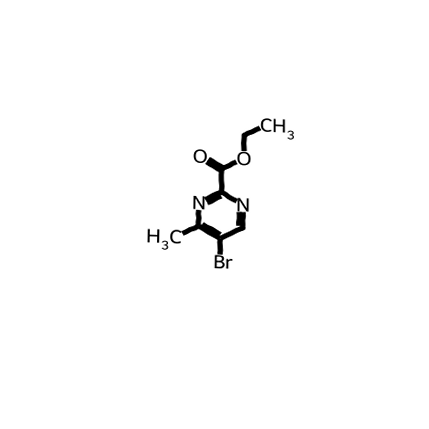 CCOC(=O)c1ncc(Br)c(C)n1